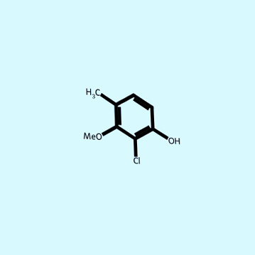 COc1c(C)ccc(O)c1Cl